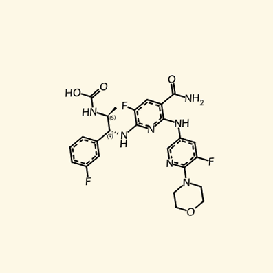 C[C@H](NC(=O)O)[C@H](Nc1nc(Nc2cnc(N3CCOCC3)c(F)c2)c(C(N)=O)cc1F)c1cccc(F)c1